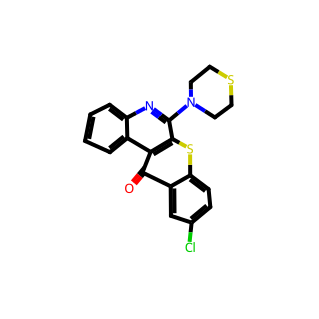 O=c1c2cc(Cl)ccc2sc2c(N3CCSCC3)nc3ccccc3c12